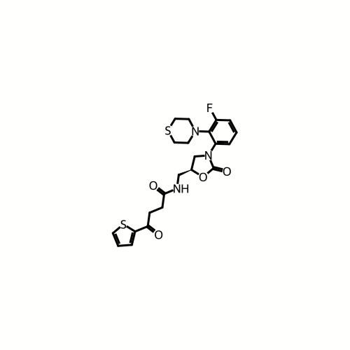 O=C(CCC(=O)c1cccs1)NC[C@H]1CN(c2cccc(F)c2N2CCSCC2)C(=O)O1